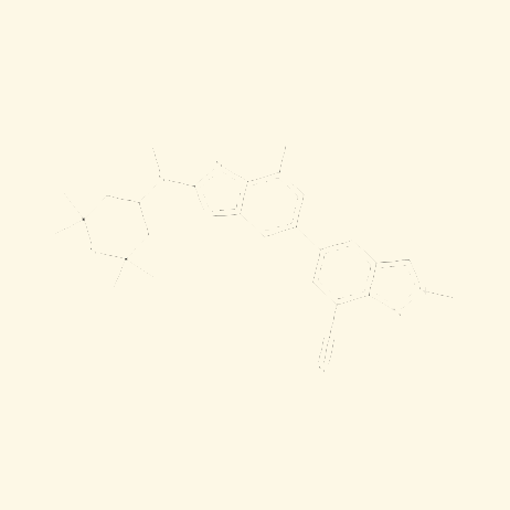 CN(c1nc2c(F)cc(-c3cc(C#N)c4nn(C)cc4c3)cc2s1)C1CC(C)(C)NC(C)(C)C1